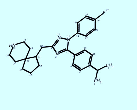 CC(C)c1ccc(-c2nc(CC3CCCC34CCNCC4)nn2-c2ccc(F)cc2)cc1